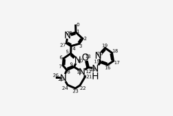 Cc1ccc(-c2ccc3c(n2)N(C(=O)Nc2ccccn2)CCCCN3C)cn1